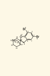 Brc1cc(Br)c2c(c1)C[C@@]1(CN3CCC1CC3)O2